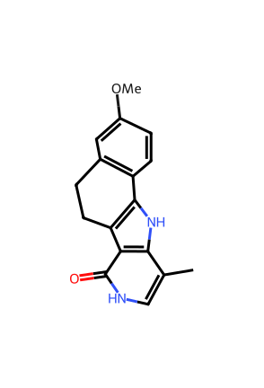 COc1ccc2c(c1)CCc1c-2[nH]c2c(C)c[nH]c(=O)c12